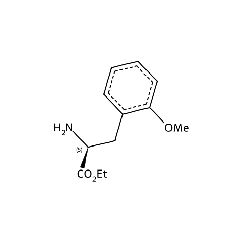 CCOC(=O)[C@@H](N)Cc1ccccc1OC